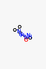 Nc1ccccc1C(=O)NCCCN1CCN(C(c2ccccc2)c2ccccc2)CC1